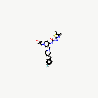 CC(=O)c1sc(NC(=O)N[C@@H]2CCN(CC(C)(C)O)C[C@H]2CN2CCC[C@@H](Cc3ccc(F)cc3)C2)nc1C